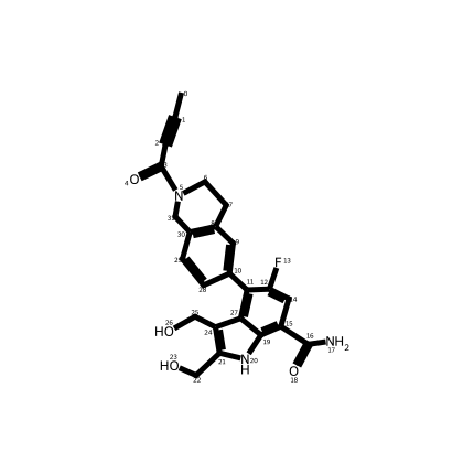 CC#CC(=O)N1CCc2cc(-c3c(F)cc(C(N)=O)c4[nH]c(CO)c(CO)c34)ccc2C1